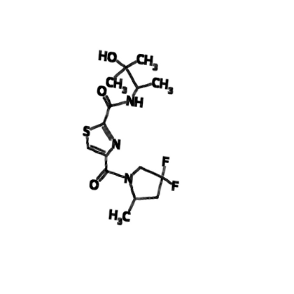 CC1CC(F)(F)CN1C(=O)c1csc(C(=O)NC(C)C(C)(C)O)n1